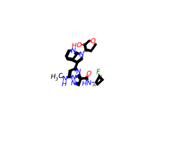 CNc1cc(-c2cn([C@H]3CCOC[C@@H]3O)c3ncccc23)nc2c(C(=O)N[C@H]3CC[C@@H]3F)cnn12